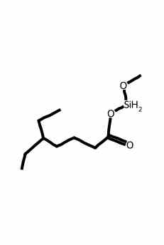 CCC(CC)CCCC(=O)O[SiH2]OC